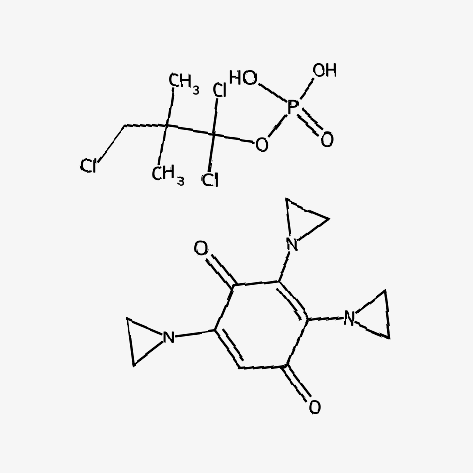 CC(C)(CCl)C(Cl)(Cl)OP(=O)(O)O.O=C1C=C(N2CC2)C(=O)C(N2CC2)=C1N1CC1